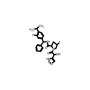 CC(C)c1ccc(C(NC(=O)C2CC(F)CN2C(=O)C(O)c2cnn[nH]2)c2ccccc2)cc1F